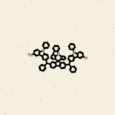 [2H]c1ccc2c(c1)c1cc(C(c3ccccc3)c3ccc4c(c3)C3(c5cc(C(c6ccccc6)c6ccc7c(c6)c6cc([2H])ccc6n7-c6ccccc6)ccc5-4)c4ccccc4-n4c5ccccc5c5cccc3c54)ccc1n2-c1ccccc1